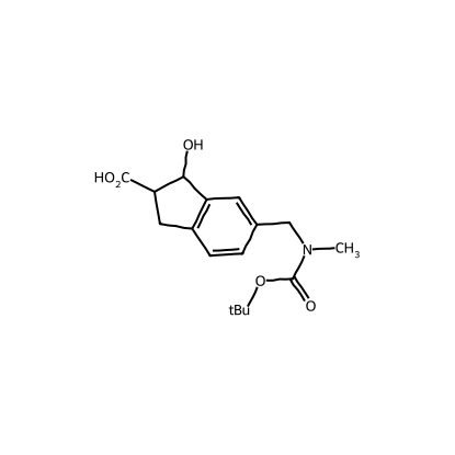 CN(Cc1ccc2c(c1)C(O)C(C(=O)O)C2)C(=O)OC(C)(C)C